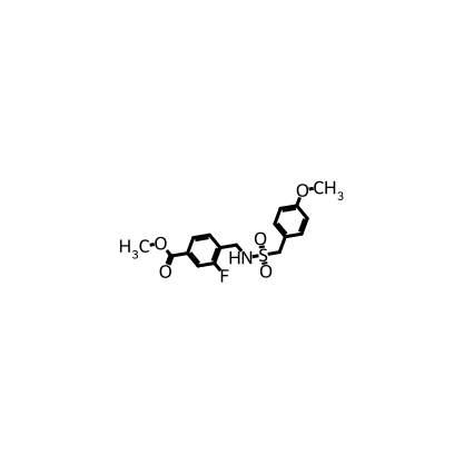 COC(=O)c1ccc(CNS(=O)(=O)Cc2ccc(OC)cc2)c(F)c1